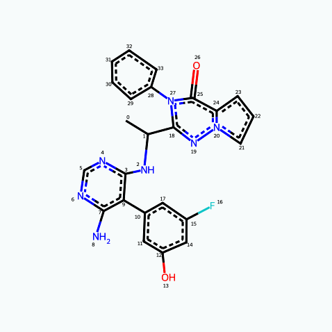 CC(Nc1ncnc(N)c1-c1cc(O)cc(F)c1)c1nn2cccc2c(=O)n1-c1ccccc1